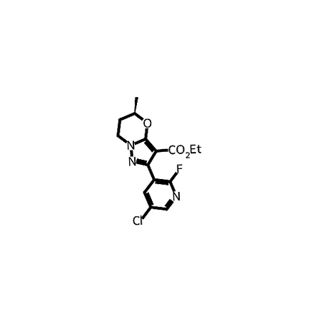 CCOC(=O)c1c(-c2cc(Cl)cnc2F)nn2c1O[C@H](C)CC2